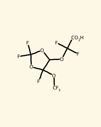 O=C(O)C(F)(F)OC1OC(F)(F)OC1(F)OC(F)(F)F